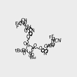 CC(C)(C)OC(=O)N1CCN(C(=O)CCCOc2ccc3nccc(C(=O)NCC(=O)N4CC(F)(F)C[C@H]4C#N)c3c2)CCN(C(=O)CCCOc2ccc3nccc(C(=O)NCC(=O)N4CC(F)(F)C[C@H]4C#N)c3c2)CCN(C(=O)OC(C)(C)C)CC1